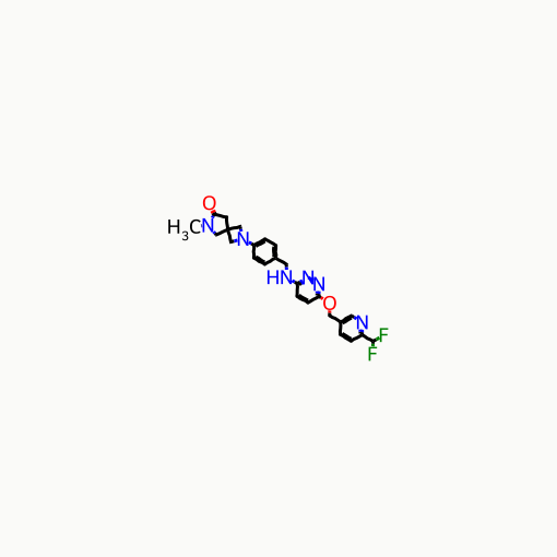 CN1CC2(CC1=O)CN(c1ccc(CNc3ccc(OCc4ccc(C(F)F)nc4)nn3)cc1)C2